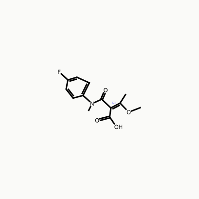 CO/C(C)=C(\C(=O)O)C(=O)N(C)c1ccc(F)cc1